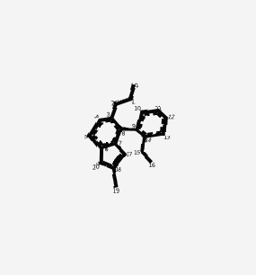 CCCc1ccc2c(c1-c1ccccc1CC)C=C(C)[CH]2